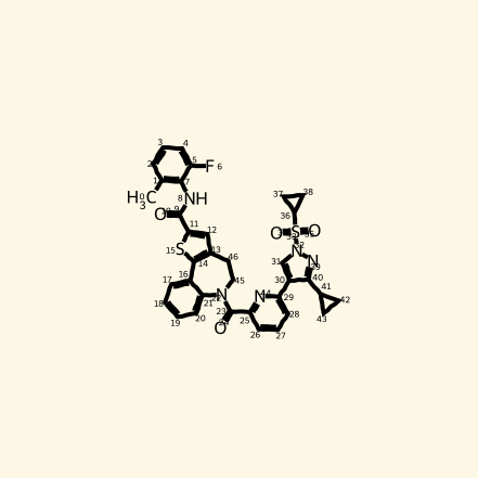 Cc1cccc(F)c1NC(=O)c1cc2c(s1)-c1ccccc1N(C(=O)c1cccc(-c3cn(S(=O)(=O)C4CC4)nc3C3CC3)n1)CC2